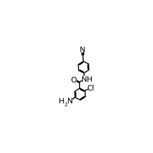 N#Cc1ccc(NC(=O)c2cc(N)ccc2Cl)cc1